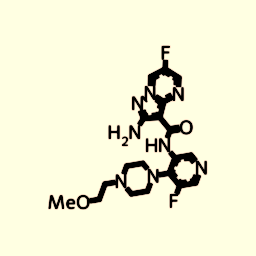 COCCN1CCN(c2c(F)cncc2NC(=O)c2c(N)nn3cc(F)cnc23)CC1